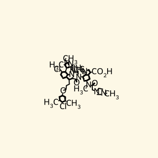 Cc1cc(OCCCc2c3n(c4c(-c5c(C)nn(C)c5C)c(Cl)ccc24)[C@H](C)CN(c2cc(N(C)C(=O)CN4CCN(C)CC4)cc4c(C(=O)O)cn(C)c24)C3=O)cc(C)c1Cl